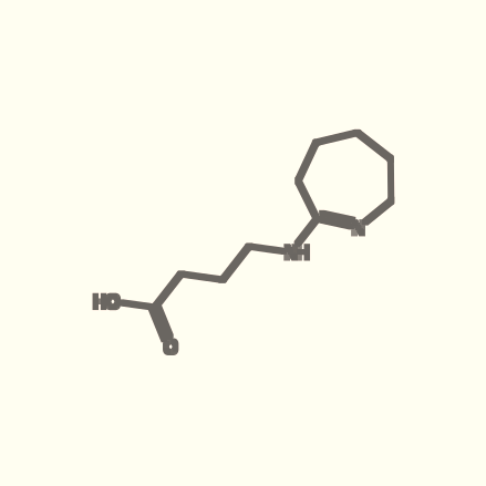 O=C(O)CCCNC1=NCCCCC1